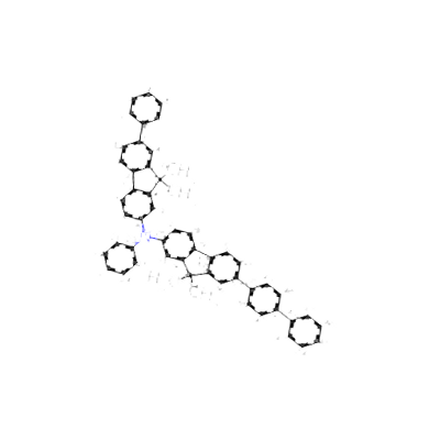 CC1(C)c2cc(-c3ccccc3)ccc2-c2ccc(N(c3ccccc3)c3ccc4c(c3)C(C)(C)c3cc(-c5ccc(-c6ccccc6)cc5)ccc3-4)cc21